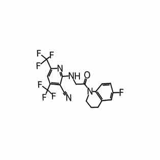 N#Cc1c(C(F)(F)F)cc(C(F)(F)F)nc1NCC(=O)N1CCCc2cc(F)ccc21